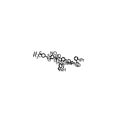 COc1nc2[nH]ccc2cc1Oc1cc(N2CCC3(CC2)CC(N2CCOC[C@@H]2c2ccccc2C(C)C)C3)ccc1C(=O)NS(=O)(=O)c1cc2c(c([N+](=O)[O-])c1)SC(C1CCC(C)(C)CC1)CO2